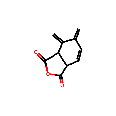 C=C1C=CC2C(=O)OC(=O)C2C1=C